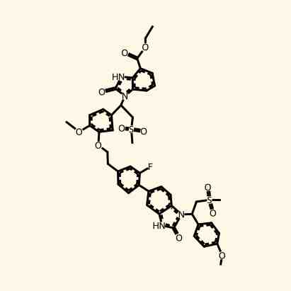 CCOC(=O)c1cccc2c1[nH]c(=O)n2C(CS(C)(=O)=O)c1ccc(OC)c(OCCc2ccc(-c3ccc4c(c3)[nH]c(=O)n4C(CS(C)(=O)=O)c3ccc(OC)cc3)c(F)c2)c1